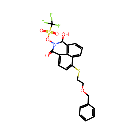 O=C1c2ccc(SCCOCc3ccccc3)c3cccc(c23)C(O)N1OS(=O)(=O)C(F)(F)F